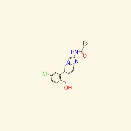 O=C(Nc1cn2cc(-c3cc(Cl)ccc3CO)ccc2n1)C1CC1